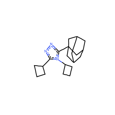 C1CC(c2nnc(C34CC5CC(CC(C5)C3)C4)n2C2CCC2)C1